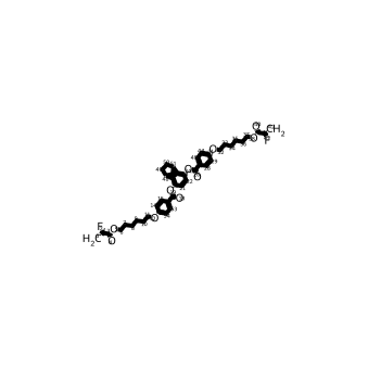 C=C(F)C(=O)OCCCCCCOc1ccc(C(=O)Oc2ccc(OC(=O)c3ccc(OCCCCCCOC(=O)C(=C)F)cc3)c3c2C2CCC3C2)cc1